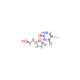 O=c1[nH]cc(F)c(=O)n1C1(F)CCC(CCO)O1